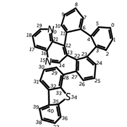 c1ccc2c(c1)-c1ccccc1-c1c(cnc3cccnc13)-c1c-2cccc1-c1cccc2c1sc1ccccc12